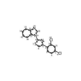 Clc1ccc(-c2csc(-n3cnc4ccccc43)n2)c(Cl)c1